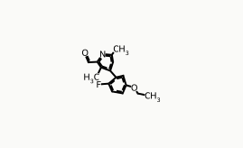 CCOc1ccc(F)c(-c2cc(C)nc(C=O)c2C)c1